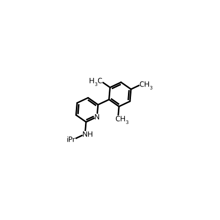 Cc1cc(C)c(-c2cccc(NC(C)C)n2)c(C)c1